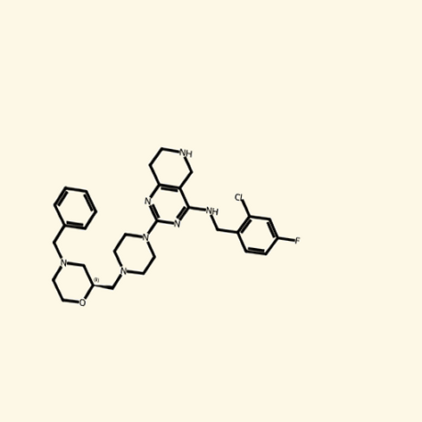 Fc1ccc(CNc2nc(N3CCN(C[C@@H]4CN(Cc5ccccc5)CCO4)CC3)nc3c2CNCC3)c(Cl)c1